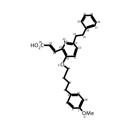 COc1ccc(CCCCOc2ccc(CCc3ccccc3)nc2C=CC(=O)O)cc1